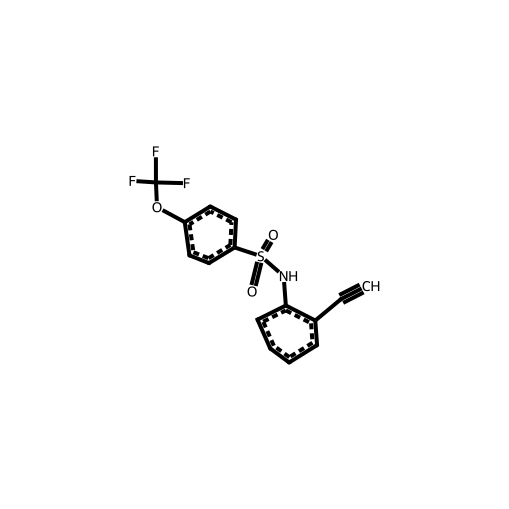 C#Cc1ccccc1NS(=O)(=O)c1ccc(OC(F)(F)F)cc1